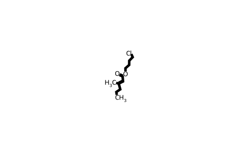 CCC/C(C)=C/C(=O)OCCCCCl